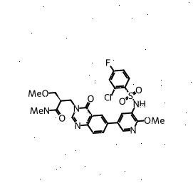 CNC(=O)[C@@H](COC)Cn1cnc2ccc(-c3cnc(OC)c(NS(=O)(=O)c4ccc(F)cc4Cl)c3)cc2c1=O